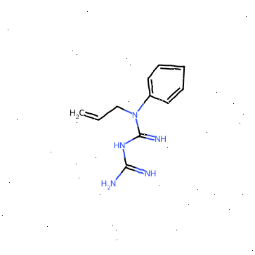 C=CCN(C(=N)NC(=N)N)c1ccccc1